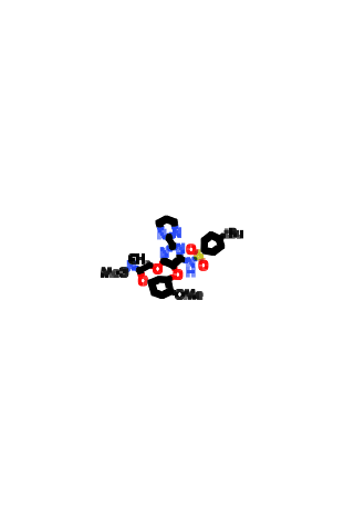 COc1ccccc1Oc1c(NS(=O)(=O)c2ccc(C(C)(C)C)cc2)nc(-c2ncccn2)nc1OCC(=O)N(C)OC